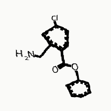 NCc1cc(Cl)ccc1C(=O)Oc1ccccc1